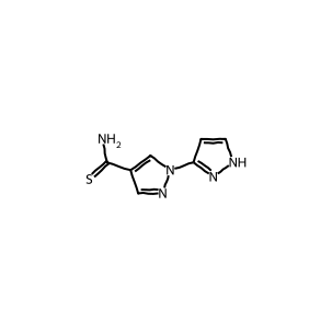 NC(=S)c1cnn(-c2cc[nH]n2)c1